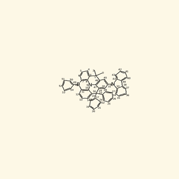 CC1(C)c2cccc3c2N2c4c(cccc4C(c4ccccc4)(c4ccccc4)c4cc(-n5c6ccccc6c6ccccc65)cc1c42)B3c1ccccc1